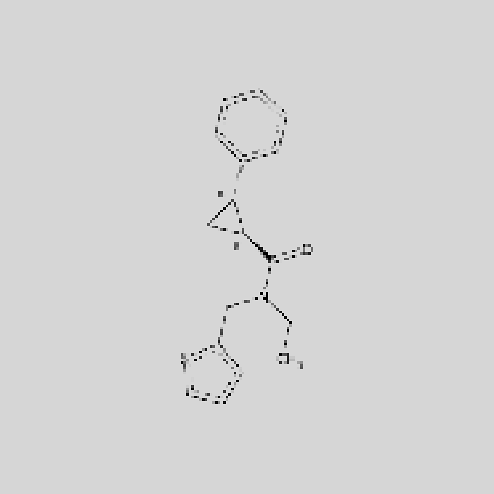 CCN(Cc1cccs1)C(=O)[C@H]1C[C@@H]1c1ccccc1